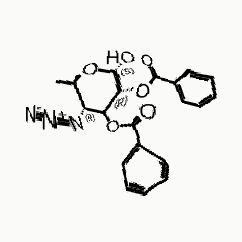 CC1O[C@H](O)[C@H](OC(=O)c2ccccc2)C(OC(=O)c2ccccc2)[C@@H]1N=[N+]=[N-]